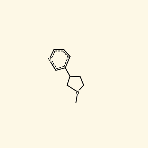 CN1CCC(c2cccnc2)C1